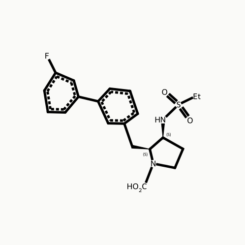 CCS(=O)(=O)N[C@H]1CCN(C(=O)O)[C@H]1Cc1cccc(-c2cccc(F)c2)c1